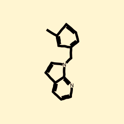 Cc1cccc(Cn2ccc3cccnc32)c1